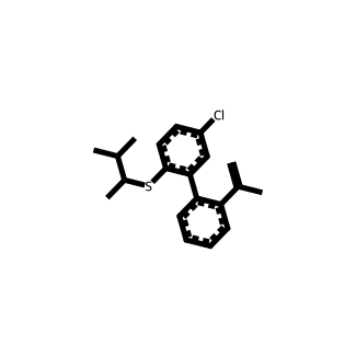 C=C(C)c1ccccc1-c1cc(Cl)ccc1SC(C)C(C)C